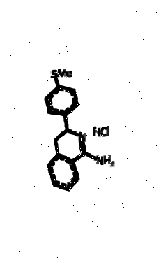 CSc1ccc(C2Cc3ccccc3C(N)=N2)cc1.Cl